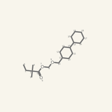 CCC(C)(C)C(=O)OCOCC1CCC(C2CCCCC2)CC1